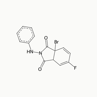 O=C1C2C=C(F)C=CC2(Br)C(=O)N1Nc1ccccc1